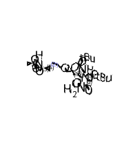 CC(C)(C)OC(=O)N[C@@H](CCCOC/C=C\[C@@H]1C[C@@H]1C(=O)NS(=O)(=O)C1CC1)C(=O)N1C[C@H](OC(C)(C)C)C[C@H]1C(N)=O